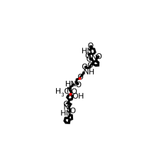 CN(CCNC(=O)CCOCCNC(=O)COc1cccc2c1C(=O)N(C1CCC(=O)NC1=O)C2=O)C(=O)c1ccc(-c2cc(C(=O)N[C@@H]3CCc4ccccc43)no2)cc1O